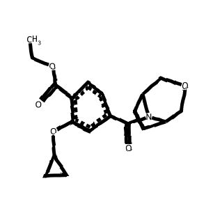 CCOC(=O)c1ccc(C(=O)N2C3CCC2COC3)cc1OC1CC1